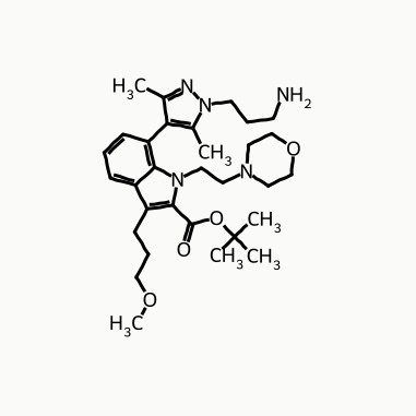 COCCCc1c(C(=O)OC(C)(C)C)n(CCN2CCOCC2)c2c(-c3c(C)nn(CCCN)c3C)cccc12